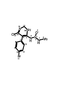 CCCN[S+]([O-])NC1=C(c2ccc(Br)cc2)C(Cl)=NCN1